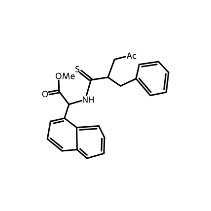 COC(=O)C(NC(=S)C(CC(C)=O)Cc1ccccc1)c1cccc2ccccc12